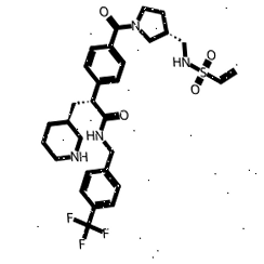 C=CS(=O)(=O)NC[C@H]1CCN(C(=O)c2ccc([C@@H](C[C@@H]3CCCNC3)C(=O)NCc3ccc(C(F)(F)F)cc3)cc2)C1